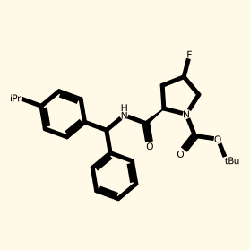 CC(C)c1ccc(C(NC(=O)[C@H]2CC(F)CN2C(=O)OC(C)(C)C)c2ccccc2)cc1